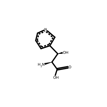 N[C@H](C(=O)O)[C@H](O)c1cccnc1